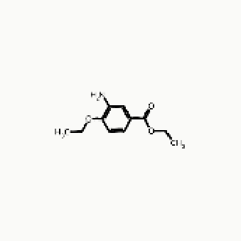 CCOC(=O)c1ccc(OCC)c(N)c1